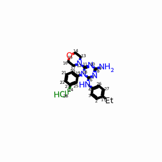 CCc1ccc(NC2N=C(N)N=C(N3CCOCC3)N2c2cccc(F)c2)cc1.Cl